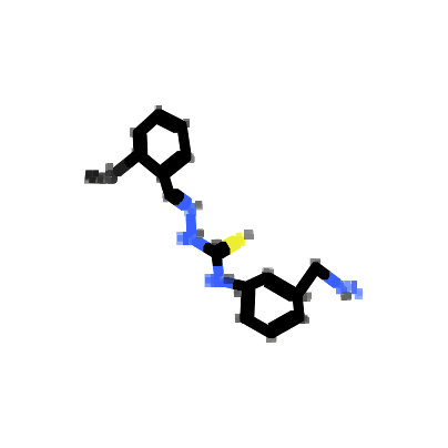 COc1ccccc1C=NNC(=S)Nc1cccc(CN)c1